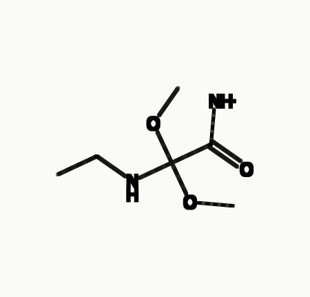 CCNC(OC)(OC)C([NH])=O